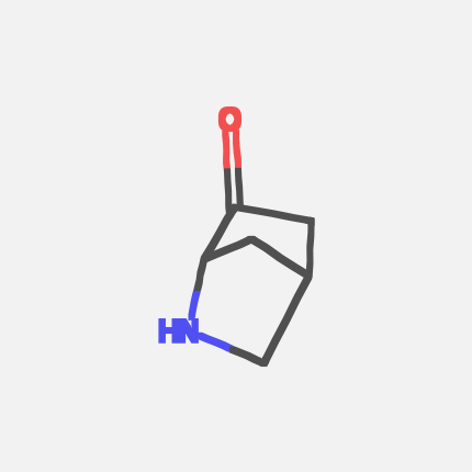 O=C1CC2CNC1C2